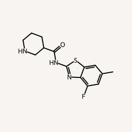 Cc1cc(F)c2nc(NC(=O)C3CCCNC3)sc2c1